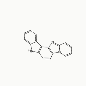 c1ccc2c(c1)[nH]c1ccc3c(nc4ccccn43)c12